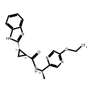 C[C@@H](NC(=O)[C@H]1C[C@@H]1c1nc2ccccc2[nH]1)c1cnc(OCC(F)(F)F)cn1